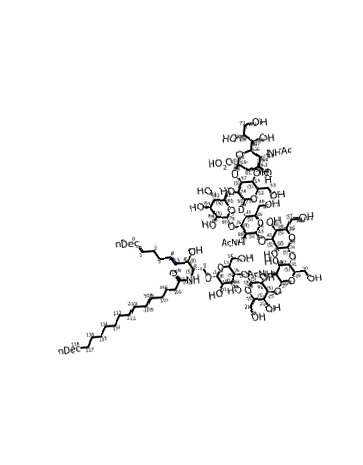 CCCCCCCCCCCCC/C=C/[C@@H](O)[C@H](CO[C@@H]1OC(CO)[C@@H](O[C@@H]2OC(CO)[C@H](O)[C@H](O[C@@H]3OC(CO)[C@@H](O[C@@H]4OC(CO)[C@H](O)[C@H](O[C@@H]5OC(CO)[C@@H](O[C@@H]6OC(CO)[C@H](O)[C@H](O[C@]7(C(=O)O)CC(O)[C@@H](NC(C)=O)C([C@H](O)[C@H](O)CO)O7)C6O)[C@H](O[C@H]6OC(C)[C@@H](O)C(O)[C@@H]6O)C5NC(C)=O)C4O)[C@H](O)C3NC(C)=O)C2O)[C@H](O)C1O)NC(=O)CCCCCCCCCCCCCCCCCCCCCCC